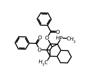 CPC12CCC(C)(C3CCCCC31)C(OC(=O)c1ccccc1)C2OC(=O)c1ccccc1